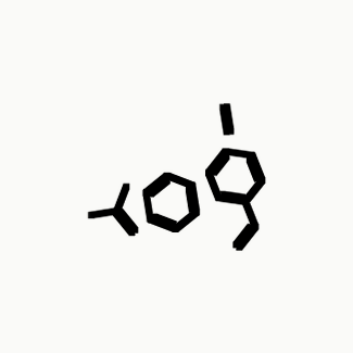 C=C.C=C(C)C.C=Cc1ccccc1.c1ccccc1